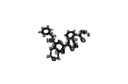 NC(=O)c1cccc2c(-c3nc4c(c(NCc5ccccc5)n3)CCOC4)onc12